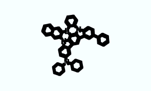 c1ccc(-c2ccc3c(c2)c2cc4c5cc(N(C6CCCCC6)C6CCCCC6)ccc5n5c4c4c2n3-c2ccccc2B4c2cc3ccccc3cc2-5)cc1